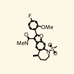 C=C1CCCN(S(C)(=O)=O)c2cc3oc(-c4ccc(F)cc4OC)c(C(=O)NC)c3cc21